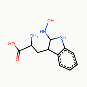 NC(CC1c2ccccc2NC1NO)C(=O)O